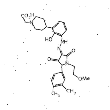 COCCN1C(=O)C(=NNc2cccc(C3CCN(CC(=O)O)CC3)c2O)C(=O)C1c1ccc(C)c(C)c1